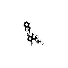 NC(=O)c1c(F)ccc(OCc2cc3ccccc3o2)c1F